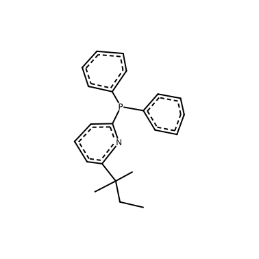 CCC(C)(C)c1cccc(P(c2ccccc2)c2ccccc2)n1